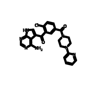 Nc1ncnc2[nH]cc(C(=O)c3cc(C(=O)N4CCN(c5ccccn5)CC4)ccc3Cl)c12